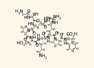 CC(C)[C@H](NC(=O)CN)C(=O)N[C@@H](CCC(N)=O)C(=O)N1CCC[C@H]1C(=O)N[C@@H](CC(=O)O)C(=O)N[C@@H](CCCCN)C(=O)N[C@@H](CCCNC(=N)N)C(=O)N1CCC[C@H]1C(=O)N[C@@H](Cc1ccccc1)C(=O)O